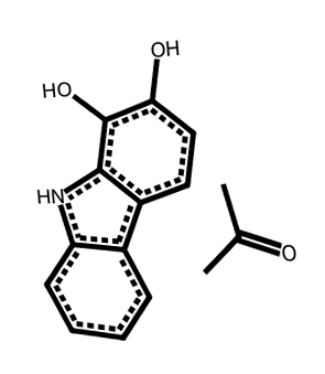 CC(C)=O.Oc1ccc2c([nH]c3ccccc32)c1O